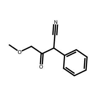 COCC(=O)C(C#N)c1ccccc1